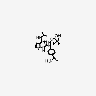 CC(C)Nc1nc(Nc2ccc(C(N)=O)cc2)[nH]c2nccc1-2.O=C(O)C(F)(F)F